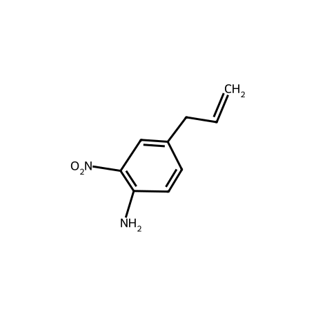 C=CCc1ccc(N)c([N+](=O)[O-])c1